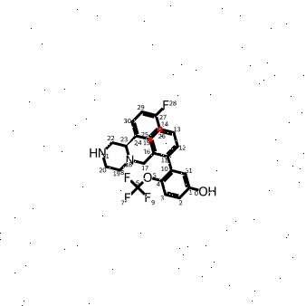 Oc1ccc(OC(F)(F)F)c(-c2ccccc2CN2CCNC[C@H]2c2ccc(F)cc2)c1